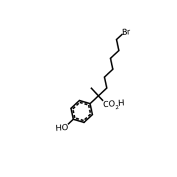 CC(CCCCCCBr)(C(=O)O)c1ccc(O)cc1